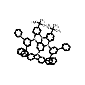 CC(C)(C)c1ccc2c(c1)B1c3cc(C(C)(C)C)ccc3N(c3cc(-c4ccccc4)cc(-c4ccccc4)c3)c3cc(-n4c5cc(-c6ccccc6)ccc5c5ccc(-c6ccccc6)cc54)cc(c31)N2c1cc(-c2ccccc2)cc(-c2ccccc2)c1